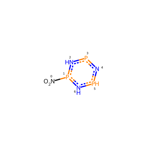 O=[N+]([O-])p1[nH]pn[pH][nH]1